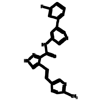 Cc1ccc(/C=C/c2c[nH]nc2C(=O)Nc2cncc(-c3cccc(F)c3)c2)cn1